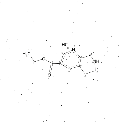 CCOC(=O)c1cnc2c(c1)CCNC2.Cl